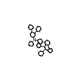 c1ccc(-c2ccc(N(c3ccccc3)c3ccc(-c4cccc5c4c(-c4ccccc4)c(-c4ccccc4)c4ccccc45)cc3)cc2-c2ccccc2)cc1